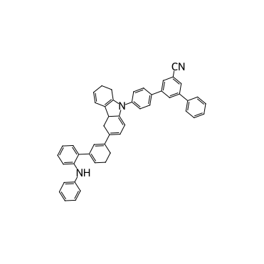 N#Cc1cc(-c2ccccc2)cc(-c2ccc(N3C4=CC=C(C5=CC(c6ccccc6Nc6ccccc6)=CCC5)CC4C4=C3CCC=C4)cc2)c1